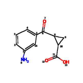 Nc1cccc(C(=O)C2CC2C(=O)O)c1